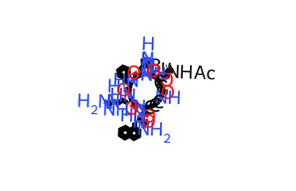 CCCC[C@H](NC(C)=O)C(=O)N[C@H]1CCC(=O)NCCC[C@@H](C(=O)N[C@@H](Cc2cccc3ccccc23)C(N)=O)NC(=O)[C@H](CCCNC(=N)N)NC(=O)[C@@H](Cc2ccccc2)NC(=O)[C@H](Cc2c[nH]cn2)NC1=O